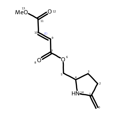 C=C1CCC(COC(=O)/C=C/C(=O)OC)N1